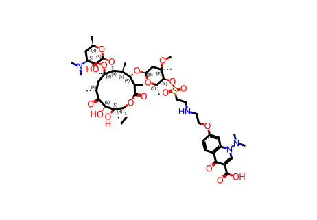 CC[C@H]1OC(=O)C(C)[C@@H](O[C@H]2C[C@@](C)(OC)[C@@H](OS(=O)(=O)CCNCCOc3ccc4c(=O)c(C(=O)O)cn(N(C)C)c4c3)[C@H](C)O2)[C@H](C)[C@@H](O[C@@H]2O[C@H](C)C[C@H](N(C)C)[C@H]2O)[C@](C)(OC)C[C@@H](C)C(=O)[C@@H](O)[C@]1(C)O